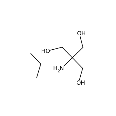 CCC.NC(CO)(CO)CO